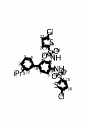 CC(C)c1cccc(-c2ccc(NS(=O)(=O)c3ccc(Cl)s3)c(NS(=O)(=O)c3ccc(Cl)s3)c2)c1